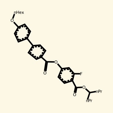 CCCCCCOc1ccc(-c2ccc(C(=O)Oc3ccc(C(=O)OC(CCC)CCC)c(F)c3)cc2)cc1